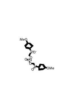 COc1ccc([S@+]([O-])CO[PH](=O)OC[S@@+]([O-])c2ccc(OC)cc2)cc1